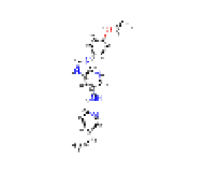 CCOc1ccc(-n2cnc3cc(NCc4ccc(CC)cn4)cnc32)cc1